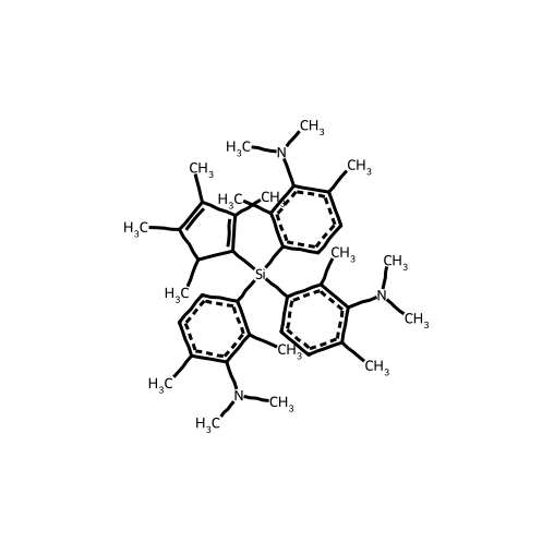 CC1=C(C)C(C)C([Si](c2ccc(C)c(N(C)C)c2C)(c2ccc(C)c(N(C)C)c2C)c2ccc(C)c(N(C)C)c2C)=C1C